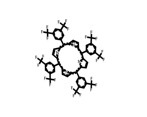 FC(F)(F)c1cc(-c2c3nc(c(-c4cc(C(F)(F)F)cc(C(F)(F)F)c4)c4ccc([nH]4)c(-c4cc(C(F)(F)F)cc(C(F)(F)F)c4)c4nc(c(-c5cc(C(F)(F)F)cc(C(F)(F)F)c5)c5ccc2[nH]5)C=C4)C=C3)cc(C(F)(F)F)c1